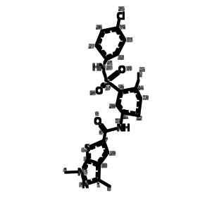 Cc1nn(C)c2sc(C(=O)Nc3ccc(F)c(S(=O)(=O)Nc4ccc(Cl)cc4)c3)cc12